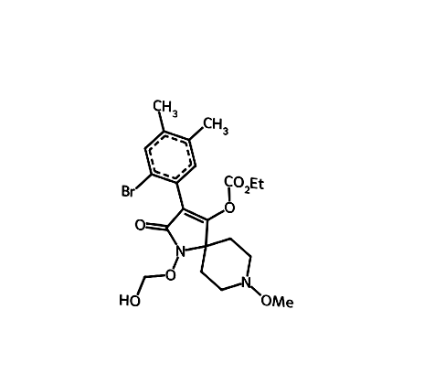 CCOC(=O)OC1=C(c2cc(C)c(C)cc2Br)C(=O)N(OCO)C12CCN(OC)CC2